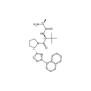 C[C@H](N)C(=O)N[C@H](C(=O)N1CCC[C@H]1c1nc(-c2cccc3ccccc23)cs1)C(C)(C)C